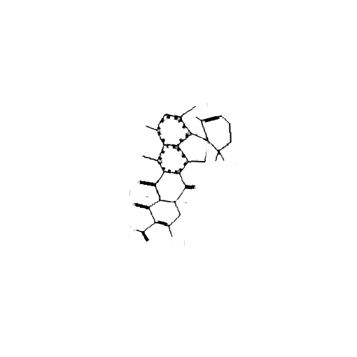 CC1=CCCC(C)(C)[C@@]12Cc1c3c(c(O)c4c(O)cc(C)c2c14)C(=O)[C@]1(O)C(=O)C(C(N)=O)=C(O)C[C@]1(O)C3=O